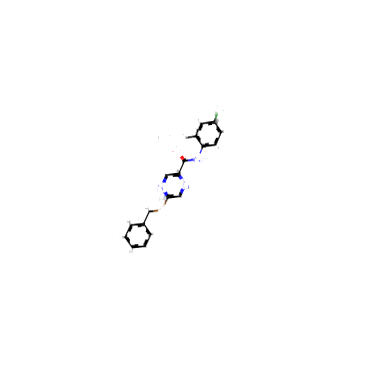 O=C(Nc1ccc(Br)cc1C(=O)O)c1cnc(SCc2ccccc2)cn1